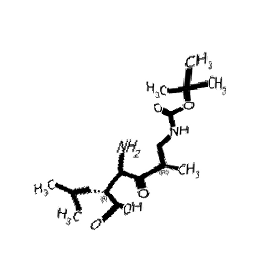 CC(C)C[C@@H](C(=O)O)C(N)C(=O)[C@H](C)CNC(=O)OC(C)(C)C